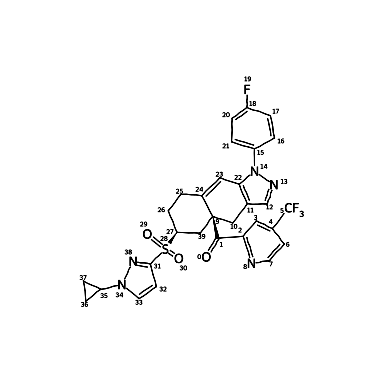 O=C(c1cc(C(F)(F)F)ccn1)[C@]12Cc3cnn(-c4ccc(F)cc4)c3C=C1CC[C@H](S(=O)(=O)c1ccn(C3CC3)n1)C2